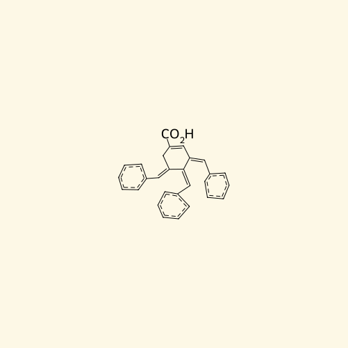 O=C(O)C1=CC(=Cc2ccccc2)C(=Cc2ccccc2)C(=Cc2ccccc2)C1